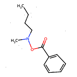 CCCCN(C)OC(=O)c1ccccc1